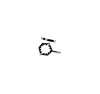 Sc1cnccn1.[O]=[Ti]=[O]